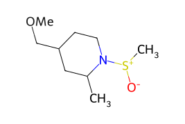 COCC1CCN([S+](C)[O-])C(C)C1